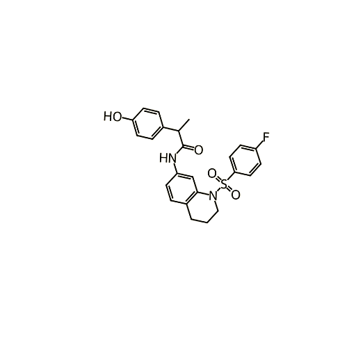 CC(C(=O)Nc1ccc2c(c1)N(S(=O)(=O)c1ccc(F)cc1)CCC2)c1ccc(O)cc1